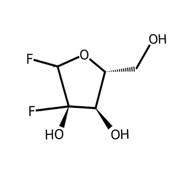 OC[C@H]1O[C](F)[C@@](O)(F)[C@@H]1O